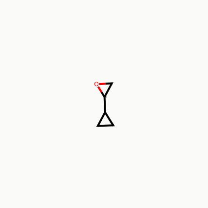 C1O[C]1C1CC1